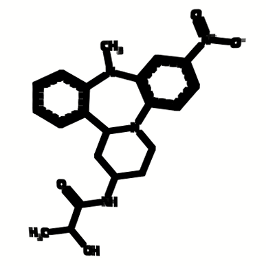 CC(O)C(=O)NC1CCN2c3ccc([N+](=O)[O-])cc3N(C)c3ccccc3C2C1